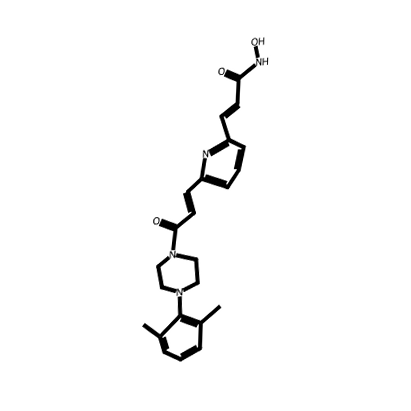 Cc1cccc(C)c1N1CCN(C(=O)C=Cc2cccc(C=CC(=O)NO)n2)CC1